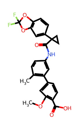 COc1cc(-c2cc(NC(=O)C3(c4ccc5c(c4)OC(F)(F)O5)CC3)ccc2C)ccc1C(=O)O